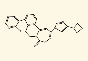 O=C1CN=C(n2cnc(C3CCC3)c2)C=C2c3cccc(-c4cccnc4F)c3CCN12